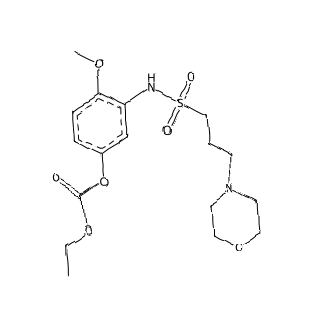 CCOC(=O)Oc1ccc(OC)c(NS(=O)(=O)CCCN2CCOCC2)c1